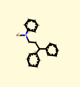 CC(C)N(CCC(c1ccccc1)c1ccccc1)c1ccccc1